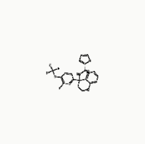 O=C(NC1(c2ccc(OC(F)(F)F)c(F)c2)CCOc2cccnc21)c1ccco1